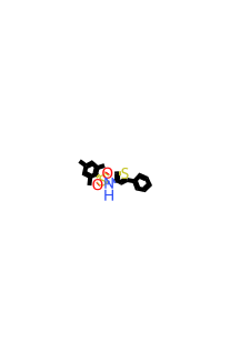 Cc1cc(C)c(S(=O)(=O)Nc2csc(-c3ccccc3)c2)c(C)c1